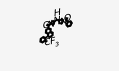 O=C(c1ccccc1)N1CCC(NC2CN(C(=O)c3ccc4c(-c5ccccc5C(F)(F)F)cccc4c3)C2)C1